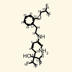 N/C=C(\C=C/CC(O)(C(F)F)C(F)F)NCCc1ccccc1OCC(F)F